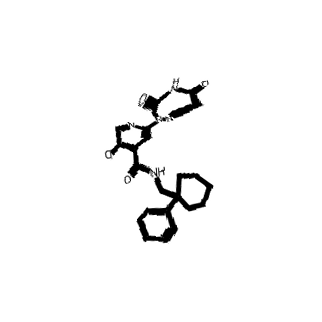 O=C(NCC1(c2ccccc2)CCCCC1)c1cc(-n2ncc(=O)[nH]c2=O)ncc1Cl